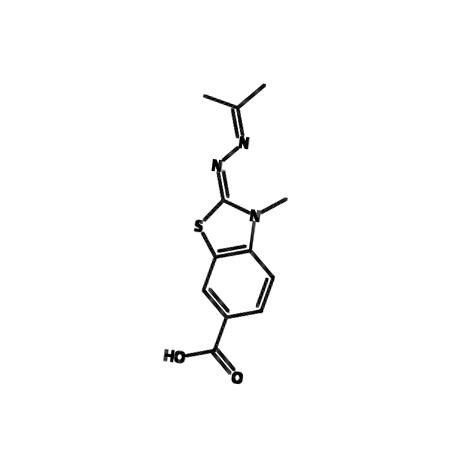 CC(C)=NN=c1sc2cc(C(=O)O)ccc2n1C